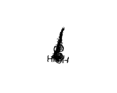 CCCCCCCCCCCCCCCC(=O)OCCSC[C@H](C)C(=O)N[C@@H](CO)C(=O)OC